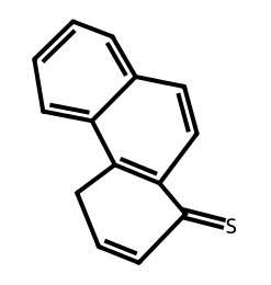 S=C1C=CCc2c1ccc1ccccc21